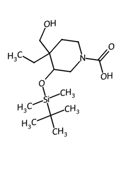 CCC1(CO)CCN(C(=O)O)CC1O[Si](C)(C)C(C)(C)C